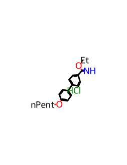 CCCCCOc1ccc(-c2ccc(C(=N)OCC)cc2)cc1.Cl